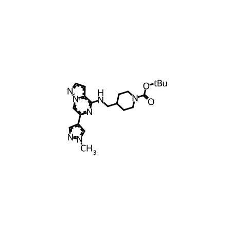 Cn1cc(-c2cn3nccc3c(NCC3CCN(C(=O)OC(C)(C)C)CC3)n2)cn1